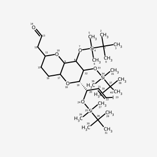 CC(C)(C)[Si](C)(C)OC1C2OC(CC=O)CCC2O[C@@H](C(/C=C/I)O[Si](C)(C)C(C)(C)C)C1O[Si](C)(C)C(C)(C)C